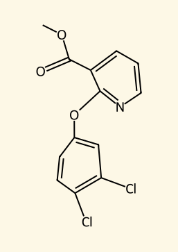 COC(=O)c1cccnc1Oc1ccc(Cl)c(Cl)c1